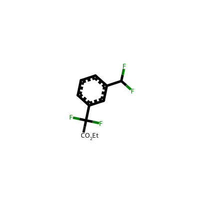 CCOC(=O)C(F)(F)c1cccc(C(F)F)c1